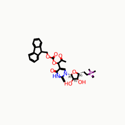 C=C1NC(=O)C(C(OC(=O)OCC2c3ccccc3-c3ccccc32)C(C)=O)=CN1[C@@H]1O[C@H](CCP(=C)(C)C)[C@@H](O)[C@H]1O